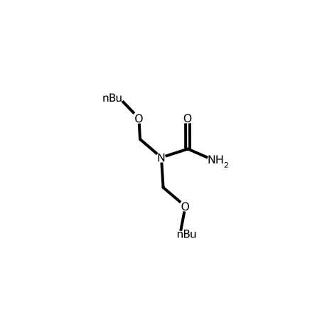 CCCCOCN(COCCCC)C(N)=O